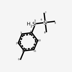 Cc1ccc([SiH2][Si](C)(C)C)cc1